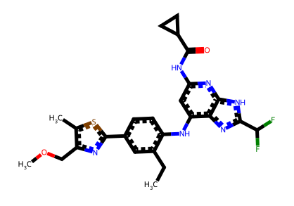 CCc1cc(-c2nc(COC)c(C)s2)ccc1Nc1cc(NC(=O)C2CC2)nc2[nH]c(C(F)F)nc12